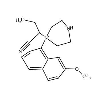 CCC(C#N)[N+]1(c2cccc3ccc(OC)cc23)CCNCC1